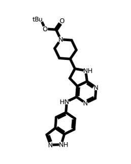 CC(C)(C)OC(=O)N1CCC(C2Cc3c(Nc4ccc5[nH]ncc5c4)ncnc3N2)CC1